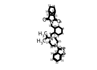 CC(C)[N+]1(CC2CCCCC2CN2C(=O)C3C4CCC(C4)C3C2=O)CCN(c2nsc3ccccc23)CC1